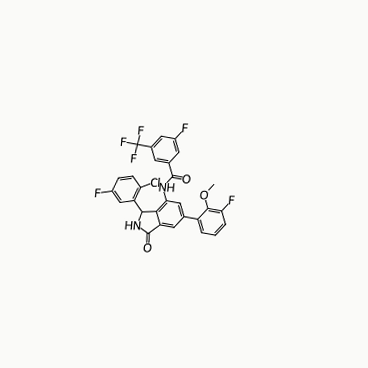 COc1c(F)cccc1-c1cc(NC(=O)c2cc(F)cc(C(F)(F)F)c2)c2c(c1)C(=O)NC2c1cc(F)ccc1Cl